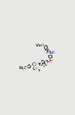 COc1ccc(CC(=O)Nc2ccc(C(=O)N(CC(=O)O)Cc3ccc(CCC4=CC=C(c5ccc(C)cc5)C(C)C4)cc3)cc2)c(C(F)(F)F)c1